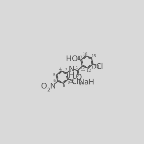 O=C(Nc1ccc([N+](=O)[O-])cc1Cl)c1cc(Cl)ccc1O.[NaH]